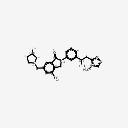 C[C@H](Cc1nncn1C)c1cccc(N2Cc3c(cc(CN4CC[C@@H](F)C4)cc3C(F)(F)F)C2=O)c1